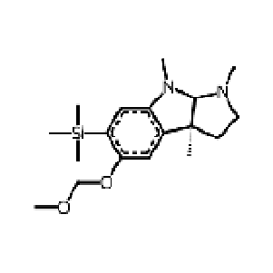 COCOc1cc2c(cc1[Si](C)(C)C)N(C)C1N(C)CC[C@@]21C